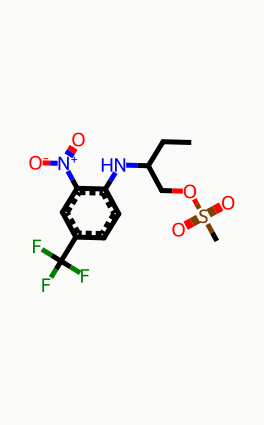 CCC(COS(C)(=O)=O)Nc1ccc(C(F)(F)F)cc1[N+](=O)[O-]